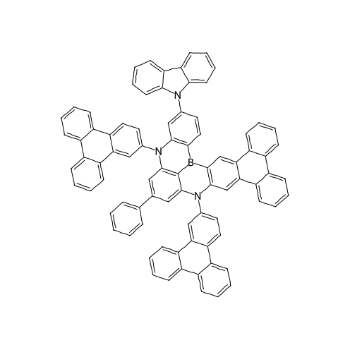 c1ccc(-c2cc3c4c(c2)N(c2ccc5c6ccccc6c6ccccc6c5c2)c2cc5c6ccccc6c6ccccc6c5cc2B4c2ccc(-n4c5ccccc5c5ccccc54)cc2N3c2ccc3c4ccccc4c4ccccc4c3c2)cc1